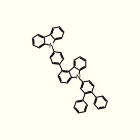 c1ccc(-c2ccc(-n3c4ccccc4c4c(-c5ccc(-n6c7ccccc7c7ccccc76)cc5)cccc43)cc2-c2ccccc2)cc1